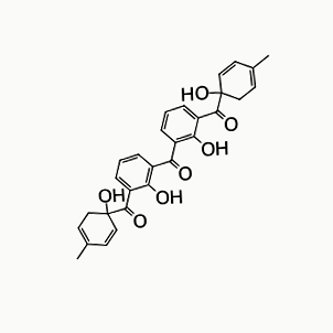 CC1=CCC(O)(C(=O)c2cccc(C(=O)c3cccc(C(=O)C4(O)C=CC(C)=CC4)c3O)c2O)C=C1